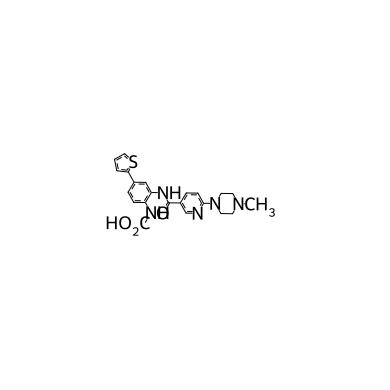 CN1CCN(c2ccc(C(=O)Nc3cc(-c4cccs4)ccc3NC(=O)O)cn2)CC1